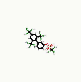 O=S(=O)(Oc1cccc(-c2c(C(F)(F)F)cc(C(F)(F)F)cc2C(F)(F)F)c1)C(F)(F)F